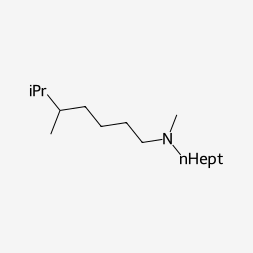 CCCCCCCN(C)CCCCC(C)C(C)C